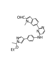 CCOC(C)n1cc(-c2ccc(Nc3ccnc(-c4ccc5cc(C=O)n(C)c5c4)n3)cc2)cn1